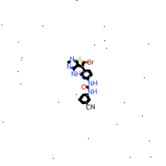 N#Cc1cccc(NC(=O)Nc2ccc(-c3c(Br)sc4ncnc(N)c34)cc2)c1